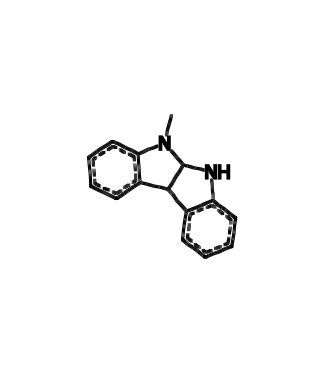 CN1c2ccccc2C2c3ccccc3NC21